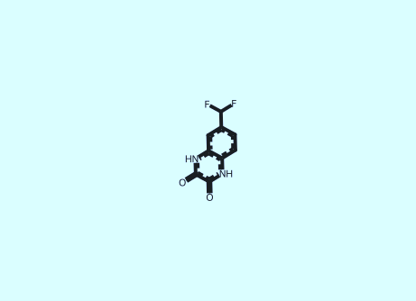 O=c1[nH]c2ccc(C(F)F)cc2[nH]c1=O